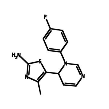 Cc1nc(N)sc1C1C=CN=CN1c1ccc(F)cc1